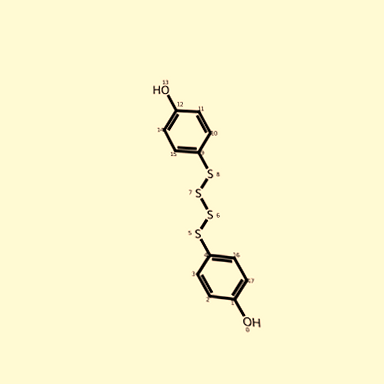 Oc1ccc(SSSSc2ccc(O)cc2)cc1